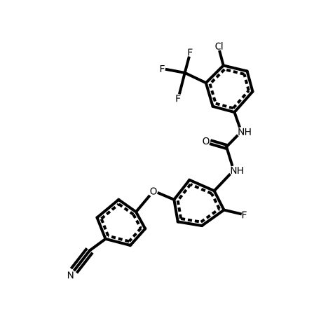 N#Cc1ccc(Oc2ccc(F)c(NC(=O)Nc3ccc(Cl)c(C(F)(F)F)c3)c2)cc1